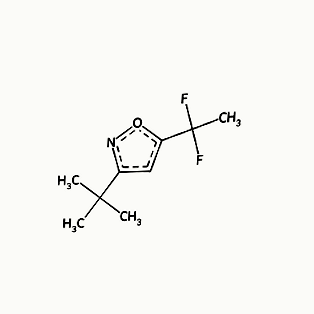 CC(C)(C)c1cc(C(C)(F)F)on1